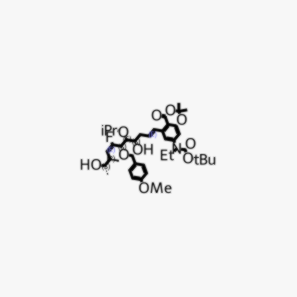 CCN(C(=O)OC(C)(C)C)c1cc(/C=C/C[C@H](O)[C@H](OC(C)C)[C@H](OCc2ccc(OC)cc2)/C(F)=C\[C@@H](C)[C@H](C)O)c2c(c1)OC(C)(C)OC2=O